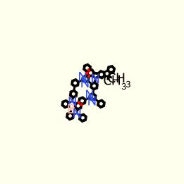 CC1(C)c2ccccc2-c2cc3c4ccccc4n(-c4ccc(-c5cc(-c6ccccc6)nc(-c6ccccc6)n5)cc4-c4cc(-c5ccccc5)nc(-c5cccc(-c6ccc(N7c8ccccc8B8c9ccccc9N(c9ccccc9)c9cccc7c98)cc6)c5)n4)c3cc21